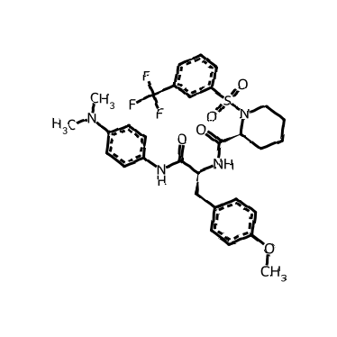 COc1ccc(C[C@H](NC(=O)[C@@H]2CCCCN2S(=O)(=O)c2cccc(C(F)(F)F)c2)C(=O)Nc2ccc(N(C)C)cc2)cc1